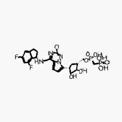 O=P(O)(O)CP(=O)(O)OC[C@H]1C[C@@H](c2ccc3c(N[C@@H]4CCc5cc(F)cc(F)c54)nc(Cl)nn23)[C@H](O)[C@@H]1O